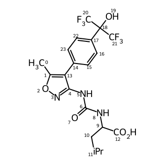 Cc1onc(NC(=O)NC(CC(C)C)C(=O)O)c1-c1ccc(C(O)(C(F)(F)F)C(F)(F)F)cc1